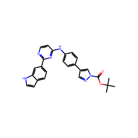 CC(C)(C)OC(=O)n1cc(-c2ccc(Nc3ccnc(-c4ccc5cc[nH]c5c4)n3)cc2)cn1